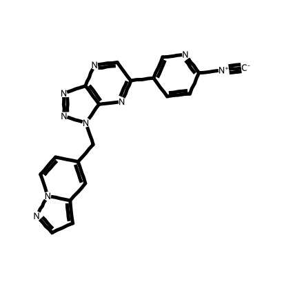 [C-]#[N+]c1ccc(-c2cnc3nnn(Cc4ccn5nccc5c4)c3n2)cn1